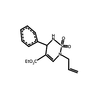 C=CCN1C=C(C(=O)OCC)C(c2ccccc2)NS1(=O)=O